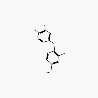 Fc1cc(Oc2ccc(OC(F)(F)F)cc2Cl)cnc1C(F)(F)F